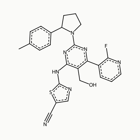 Cc1ccc(C2CCCN2c2nc(Nc3ncc(C#N)s3)c(CO)c(-c3cccnc3F)n2)cc1